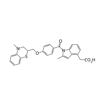 Cc1cc2c(CC(=O)O)cccc2n1C(=O)c1ccc(OCC2CN(C)c3ccccc3S2)cc1